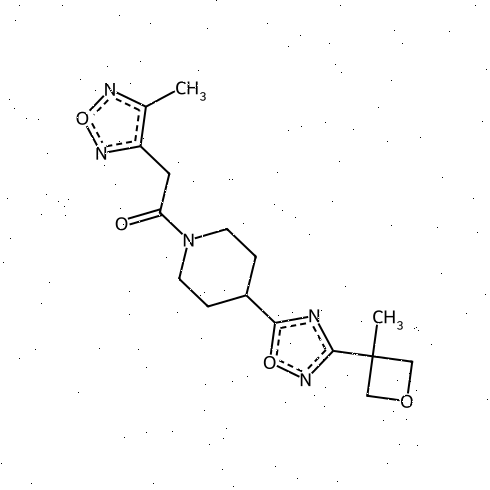 Cc1nonc1CC(=O)N1CCC(c2nc(C3(C)COC3)no2)CC1